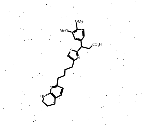 COc1ccc(C(CC(=O)O)c2nc(CCCCc3ccc4c(n3)NCCC4)cs2)cc1OC